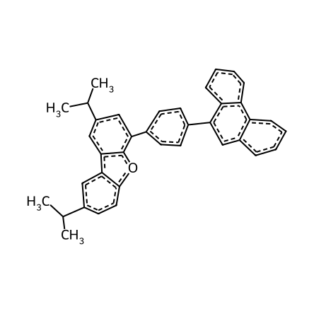 CC(C)c1ccc2oc3c(-c4ccc(-c5cc6ccccc6c6ccccc56)cc4)cc(C(C)C)cc3c2c1